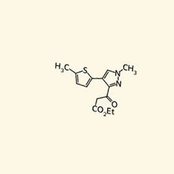 CCOC(=O)CC(=O)c1nn(C)cc1-c1ccc(C)s1